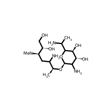 CN[C@H](CC(N)[C@H](C)O[C@H]1OC(C(C)N)[C@@H](O)[C@H](O)C1N)[C@@H](O)CO